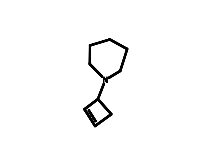 C1=CC(N2CCCCC2)C1